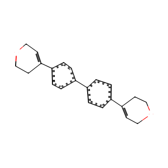 C1=C(c2ccc(-c3ccc(C4=CCOCC4)cc3)cc2)CCOC1